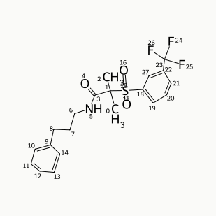 CC(C)(C(=O)NCCCc1ccccc1)S(=O)(=O)c1cccc(C(F)(F)F)c1